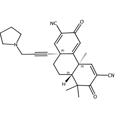 CC1(C)C(=O)C(C#N)=C[C@]2(C)C3=CC(=O)C(C#N)=C[C@]3(C#CCN3CCCC3)CC[C@@H]12